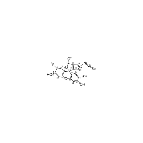 O=C1OC2(c3cc(F)c(O)cc3Oc3cc(O)c(F)cc32)c2ccc(N=C=S)cc21